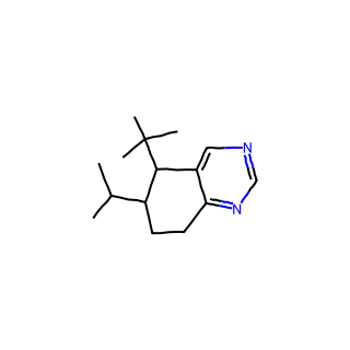 CC(C)C1CCc2ncncc2C1C(C)(C)C